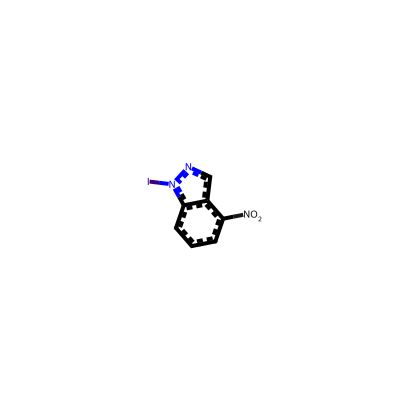 O=[N+]([O-])c1cccc2c1cnn2I